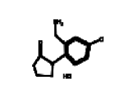 Cl.NCc1cc(Cl)ccc1N1CCCC1=O